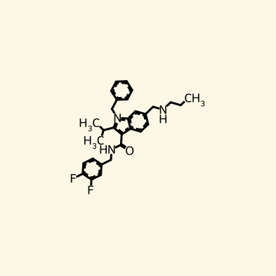 CCCNCc1ccc2c(C(=O)NCc3ccc(F)c(F)c3)c(C(C)C)n(Cc3ccccc3)c2c1